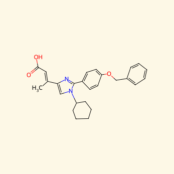 C/C(=C\C(=O)O)c1cn(C2CCCCC2)c(-c2ccc(OCc3ccccc3)cc2)n1